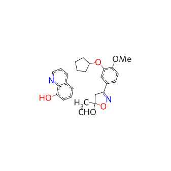 COc1ccc(C2=NOC(C)(C=O)C2)cc1OC1CCCC1.Oc1cccc2cccnc12